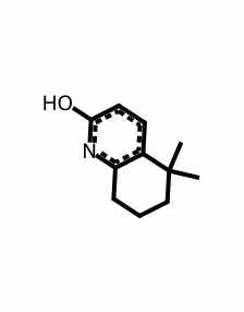 CC1(C)CCCc2nc(O)ccc21